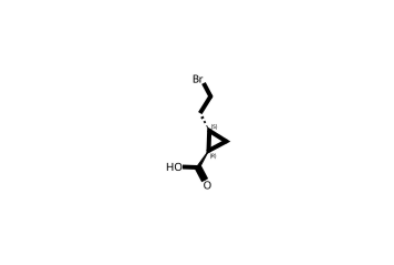 O=C(O)[C@@H]1C[C@H]1CCBr